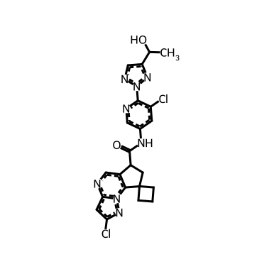 CC(O)c1cnn(-c2ncc(NC(=O)C3CC4(CCC4)c4c3cnc3cc(Cl)nn43)cc2Cl)n1